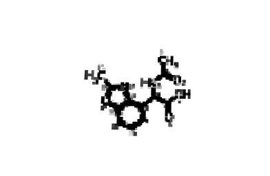 CC(=O)NC(C(=O)O)c1cccc2oc(C)nc12